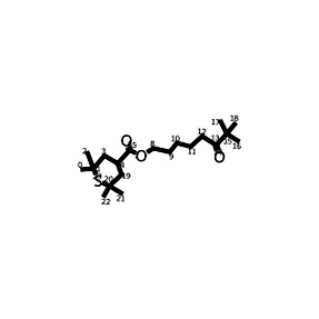 CC1(C)CC(C(=O)OCCCCCC(=O)C(C)(C)C)CC(C)(C)S1